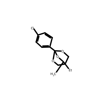 CCC12COC(c3ccc(Cl)cc3)(OC1)OC2C